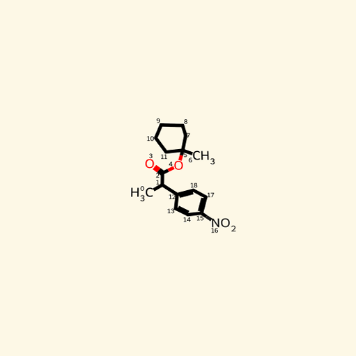 CC(C(=O)OC1(C)CCCCC1)c1ccc([N+](=O)[O-])cc1